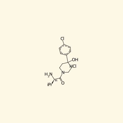 CC(C)[C@@H](N)C(=O)N1CCC(O)(c2ccc(Cl)cc2)CC1.Cl